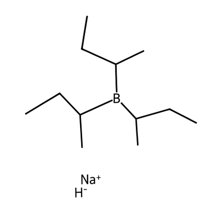 CCC(C)B(C(C)CC)C(C)CC.[H-].[Na+]